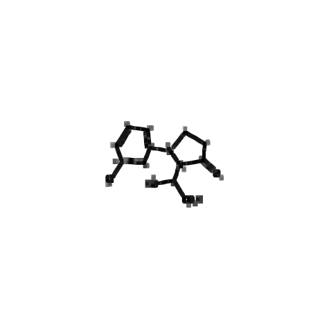 O=C(O)C(O)N1C(=O)CCN1c1cccc(Cl)c1